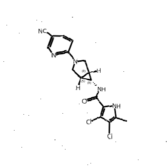 Cc1[nH]c(C(=O)N[C@@H]2[C@@H]3CN(c4ccc(C#N)cn4)C[C@@H]32)c(Cl)c1Cl